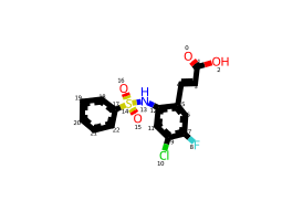 O=C(O)C=Cc1cc(F)c(Cl)cc1NS(=O)(=O)c1ccccc1